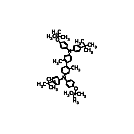 Cc1cc(N(c2ccc(OC(C)(C)C)cc2)c2ccc(C(C)(C)C)cc2)ccc1-c1ccc(N(c2ccc(OC(C)(C)C)cc2)c2ccc(C(C)(C)C)cc2)cc1C